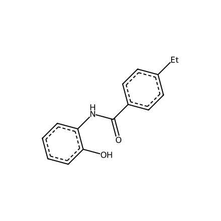 CCc1ccc(C(=O)Nc2ccccc2O)cc1